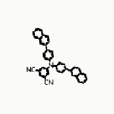 N#Cc1cc(C#N)cc(N(c2ccc(-c3ccc4ccccc4c3)cc2)c2ccc(-c3ccc4ccccc4c3)cc2)c1